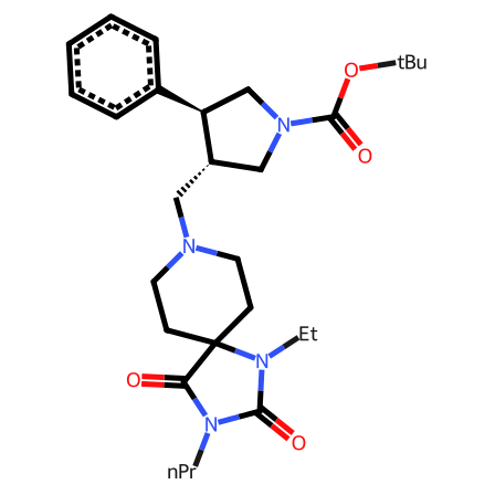 CCCN1C(=O)N(CC)C2(CCN(C[C@H]3CN(C(=O)OC(C)(C)C)C[C@@H]3c3ccccc3)CC2)C1=O